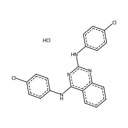 Cl.Clc1ccc(Nc2nc(Nc3ccc(Cl)cc3)c3ccccc3n2)cc1